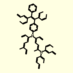 C=C/C=C\C(=C/C)N(/C(C)=C/C=C(\C=C)N(/C(C=C)=C/C=C(/C)C=C)c1ccc(C(=C(C(/C=C\C)=C/C=C)c2ccccc2)C(/C=C\C)=C/C)cc1)C(/C=C\C)=C/C=C